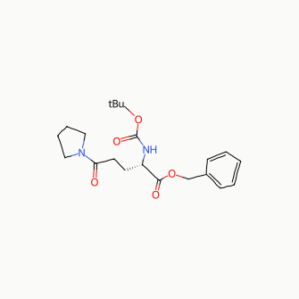 CC(C)(C)OC(=O)N[C@@H](CCC(=O)N1CCCC1)C(=O)OCc1ccccc1